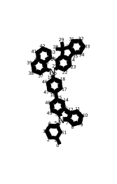 CC1C=CC=C(n2c3ccccc3c3cc(-c4ccc(N(c5ccc6c(c5)C(C)(C)c5ccccc5-6)c5cccc6ccccc56)cc4)ccc32)C1